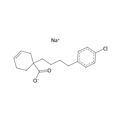 O=C([O-])C1(CCCCc2ccc(Cl)cc2)CC=CCC1.[Na+]